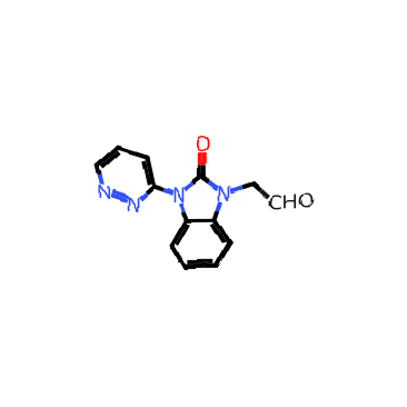 O=CCn1c(=O)n(-c2cccnn2)c2ccccc21